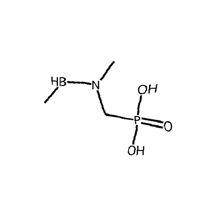 CBN(C)CP(=O)(O)O